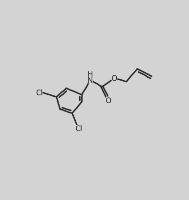 C=CCOC(=O)Nc1cc(Cl)cc(Cl)c1